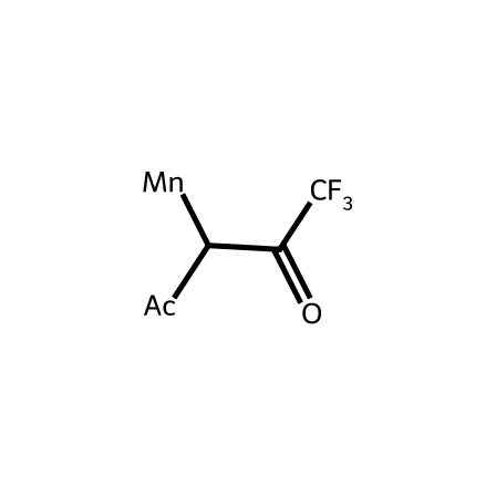 CC(=O)[CH]([Mn])C(=O)C(F)(F)F